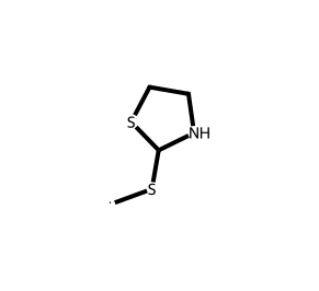 [CH2]SC1NCCS1